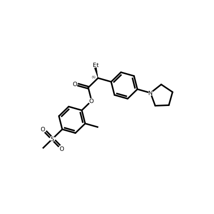 CC[C@H](C(=O)Oc1ccc(S(C)(=O)=O)cc1C)c1ccc(N2CCCC2)cc1